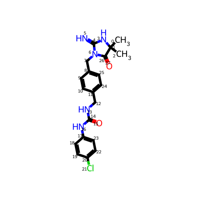 CC1(C)NC(=N)N(Cc2ccc(CNC(=O)Nc3ccc(Cl)cc3)cc2)C1=O